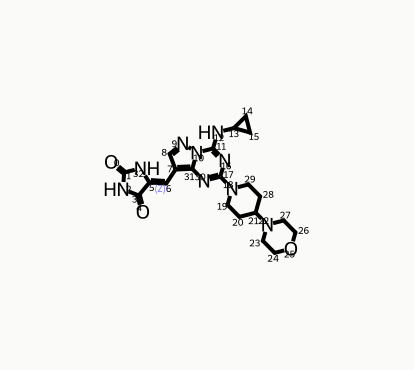 O=C1NC(=O)/C(=C/c2cnn3c(NC4CC4)nc(N4CCC(N5CCOCC5)CC4)nc23)N1